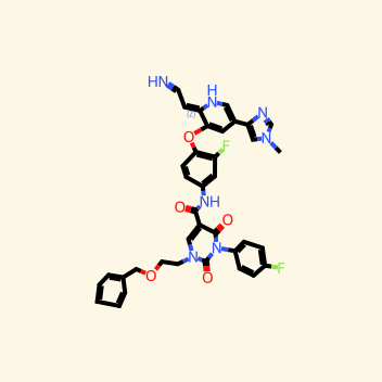 Cn1cnc(C2=CN/C(=C\C=N)C(Oc3ccc(NC(=O)c4cn(CCOCc5ccccc5)c(=O)n(-c5ccc(F)cc5)c4=O)cc3F)=C2)c1